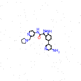 Nc1cncc(-c2ccc3[nH]nc(C(=O)Nc4ccnc(CN5CCCC5)c4)c3c2)c1